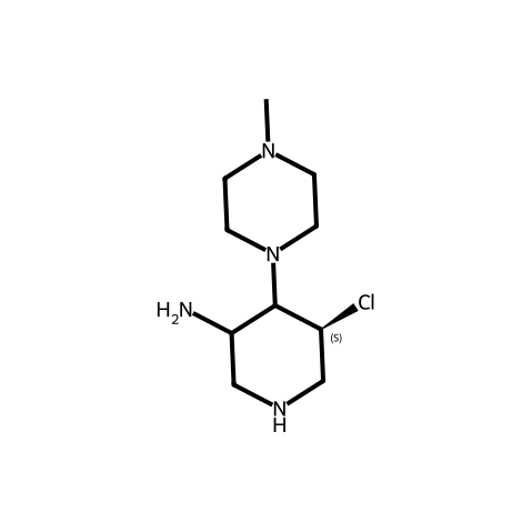 CN1CCN(C2C(N)CNC[C@@H]2Cl)CC1